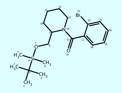 CC(C)(C)[Si](C)(C)OCC1CCCCN1C(=O)c1ccccc1Br